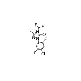 Cc1nn(-c2cc(I)c(Cl)cc2F)c(=O)n1C(F)F